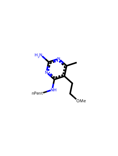 CCCCCNc1nc(N)nc(C)c1CCOC